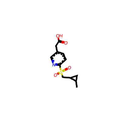 CC1CC1CS(=O)(=O)c1ccc(CC(=O)O)cn1